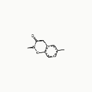 Cc1ccc2c(c1)CC(=O)N(C)O2